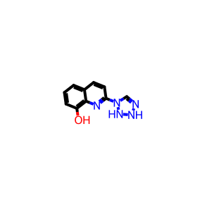 Oc1cccc2ccc(N3C=NNN3)nc12